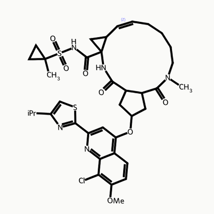 COc1ccc2c(OC3CC4C(=O)NC5(C(=O)NS(=O)(=O)C6(C)CC6)CC5/C=C\CCCCN(C)C(=O)C4C3)cc(-c3nc(C(C)C)cs3)nc2c1Cl